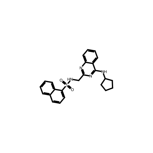 O=S(=O)(NCc1nc(NC2CCCC2)c2ccccc2n1)c1cccc2ccccc12